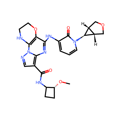 CO[C@@H]1CCC1NC(=O)c1cnn2c3c(c(Nc4cccn([C@H]5[C@@H]6COC[C@@H]65)c4=O)nc12)OCCN3